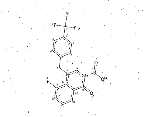 O=C(O)c1cn(Cc2ccc(C(F)(F)F)cc2)c2c(F)cccc2c1=O